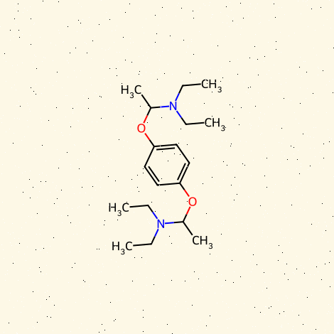 CCN(CC)C(C)Oc1ccc(OC(C)N(CC)CC)cc1